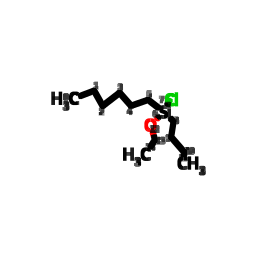 CCCCCC[Si](Cl)(CCCC)OCC